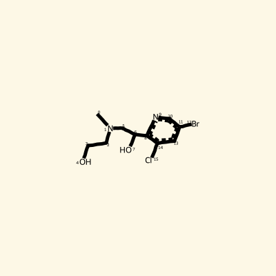 CN(CCO)CC(O)c1ncc(Br)cc1Cl